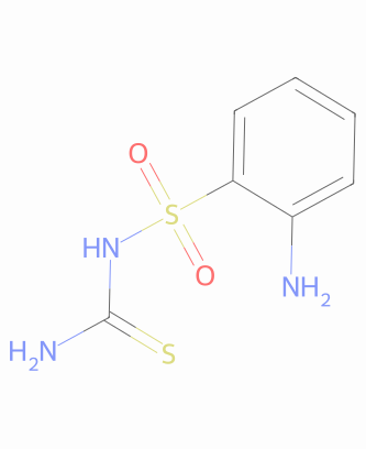 NC(=S)NS(=O)(=O)c1ccccc1N